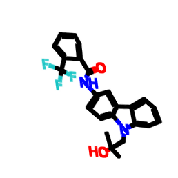 CC(C)(O)Cn1c2ccccc2c2cc(NC(=O)c3ccccc3C(F)(F)F)ccc21